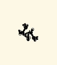 CCOP(C)(=O)c1cc(C#Cc2ccc(OC)c(N(CC)CC)c2)cc(CN2CCN(Cc3cc(C#Cc4ccc(OC)c(N(CC)CC)c4)cc(P(C)(C)=O)n3)CCN(C(=O)OC(C)(C)C)CC2)n1